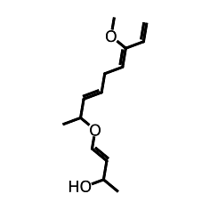 C=CC(=CC/C=C/C(C)O/C=C/C(C)O)OC